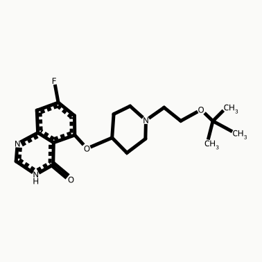 CC(C)(C)OCCN1CCC(Oc2cc(F)cc3nc[nH]c(=O)c23)CC1